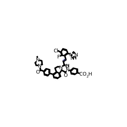 CN1CCN(C(=O)c2ccc(-c3cccc4c3CCN(C(=O)/C=C/c3c(-n5cnnn5)ccc(Cl)c3F)C4C(=O)Nc3ccc(C(=O)O)cc3)cc2)CC1